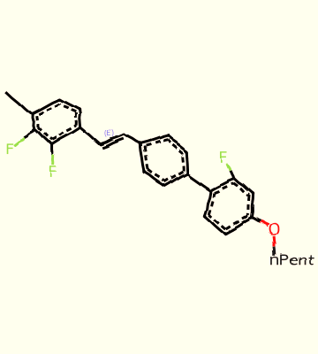 CCCCCOc1ccc(-c2ccc(/C=C/c3ccc(C)c(F)c3F)cc2)c(F)c1